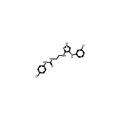 O=C(NCCNc1n[nH]cc1Nc1cccc(Cl)c1)Nc1ccc(Cl)cc1